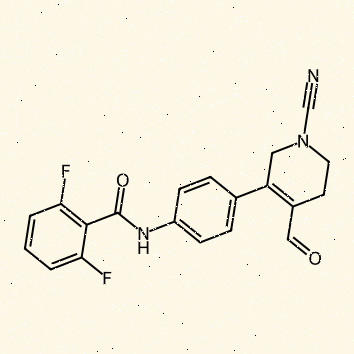 N#CN1CCC(C=O)=C(c2ccc(NC(=O)c3c(F)cccc3F)cc2)C1